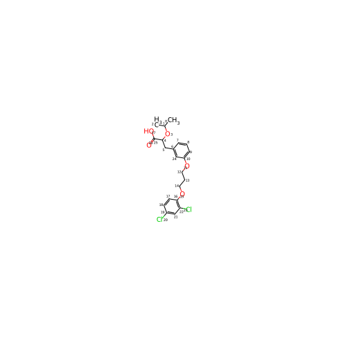 CC(C)OC(Cc1cccc(OCCCOc2ccc(Cl)cc2Cl)c1)C(=O)O